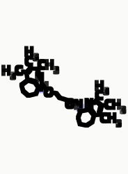 Cc1nc2c(c(C)c1C)CCCC/C2=N\OCCCO/N=C1\CCCCc2c1nc(C)c(C)c2C